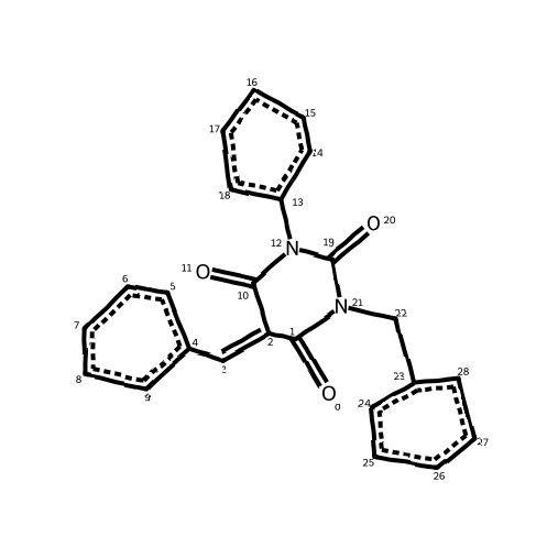 O=C1/C(=C/c2ccccc2)C(=O)N(c2ccccc2)C(=O)N1Cc1ccccc1